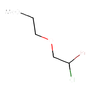 COCCOCC(Cl)Br